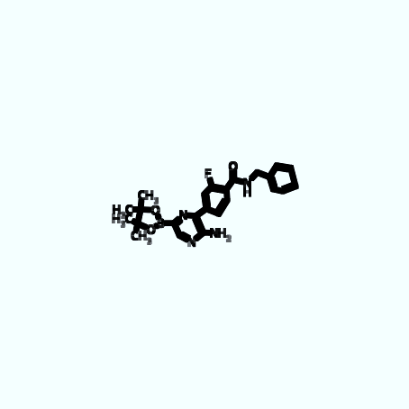 CC1(C)OB(c2cnc(N)c(-c3ccc(C(=O)NCc4ccccc4)c(F)c3)n2)OC1(C)C